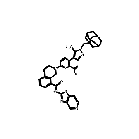 Cc1c(-c2ccc(N3CCc4cccc(C(=O)Nc5nc6cnccc6s5)c4C3)nc2C(=O)O)cnn1CC12CC3CC(CC(C3)C1)C2